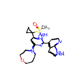 CS(=N)(=O)C1(c2cc(N3CCCOCC3)nc(-c3ccnc4[nH]ccc34)n2)CC1